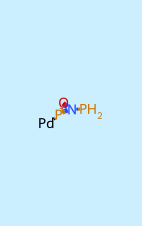 Pn1o[p]1[Pd]